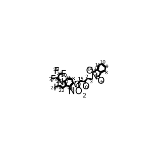 O=C(CCN1C(=O)c2ccccc2C1=O)COc1ccc2c(cc(I)n2C(F)C(F)F)c1[N+](=O)[O-]